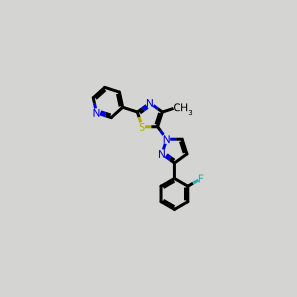 Cc1nc(-c2cccnc2)sc1-n1ccc(-c2ccccc2F)n1